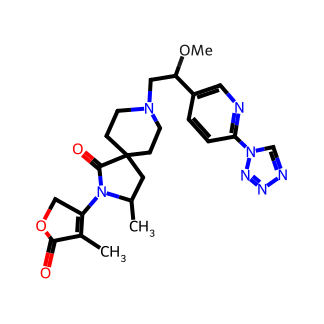 COC(CN1CCC2(CC1)CC(C)N(C1=C(C)C(=O)OC1)C2=O)c1ccc(-n2cnnn2)nc1